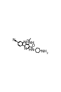 CC(C)Nc1c(C(=O)N[C@H]2CC[C@H](N)CC2)cnc2c1[nH]c1cc(C#N)ccc12